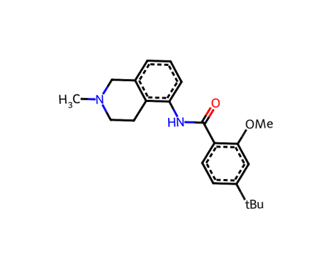 COc1cc(C(C)(C)C)ccc1C(=O)Nc1cccc2c1CCN(C)C2